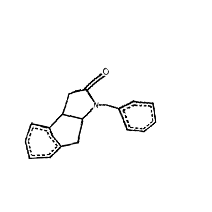 O=C1CC2c3ccccc3CC2N1c1ccccc1